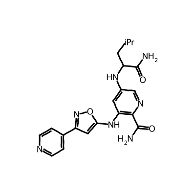 CC(C)CC(Nc1cnc(C(N)=O)c(Nc2cc(-c3ccncc3)no2)c1)C(N)=O